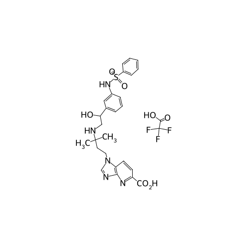 CC(C)(CCn1cnc2nc(C(=O)O)ccc21)NCC(O)c1cccc(NS(=O)(=O)c2ccccc2)c1.O=C(O)C(F)(F)F